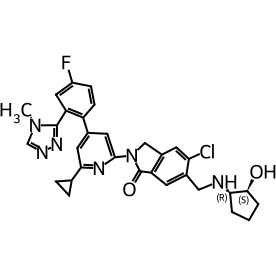 Cn1cnnc1-c1cc(F)ccc1-c1cc(C2CC2)nc(N2Cc3cc(Cl)c(CN[C@@H]4CCC[C@@H]4O)cc3C2=O)c1